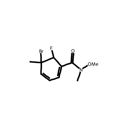 CON(C)C(=O)C1=CC=CC(C)(Br)C1F